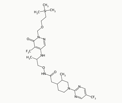 CC(CONC(=O)CC1CCN(c2ncc(C(F)(F)F)cn2)CC1C)Nc1cnn(COCC[Si](C)(C)C)c(=O)c1C(F)(F)F